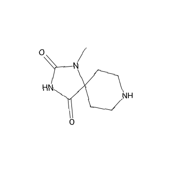 CN1C(=O)NC(=O)C12CCNCC2